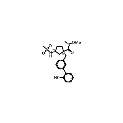 CON(C)C(=O)[C@@]1(Cc2cccc(-c3ccccc3C#N)c2)CC[C@H](NS(C)(=O)=O)C1